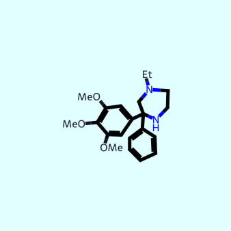 CCN1CCNC(c2ccccc2)(c2cc(OC)c(OC)c(OC)c2)C1